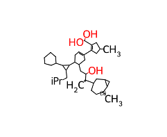 C=C(C(O)CC1CC(C2=C(C(O)O)CC(C)C2)=CCC1C1C(CC(C)C)C1C1CCCCC1)C1CC[C@H](C)C2CC2C1